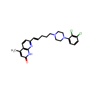 Cc1cc(=O)[nH]c2nc(C=CCCCN3CCN(c4cccc(Cl)c4Cl)CC3)ccc12